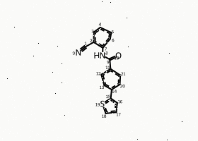 N#Cc1ccccc1NC(=O)c1ccc(-c2cccs2)cc1